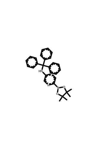 CC1(C)OB(c2cnc(NC(c3ccccc3)(c3ccccc3)c3ccccc3)cn2)OC1(C)C